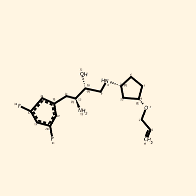 C=CCO[C@H]1CC[C@@H](NC[C@@H](O)[C@@H](N)Cc2cc(F)cc(F)c2)C1